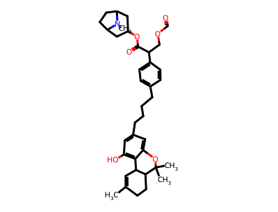 CC1=CC2c3c(O)cc(CCCCc4ccc(C(COC=O)C(=O)OC5CC6CCC(C5)N6C)cc4)cc3OC(C)(C)C2CC1